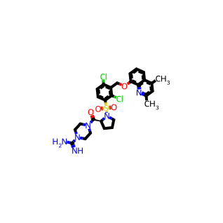 Cc1cc(C)c2cccc(OCc3c(Cl)ccc(S(=O)(=O)N4CCC[C@H]4C(=O)N4CCN(C(=N)N)CC4)c3Cl)c2n1